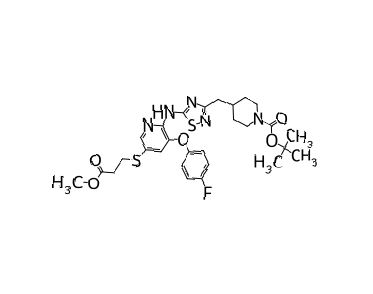 COC(=O)CCSc1cnc(Nc2nc(CC3CCN(C(=O)OC(C)(C)C)CC3)ns2)c(Oc2ccc(F)cc2)c1